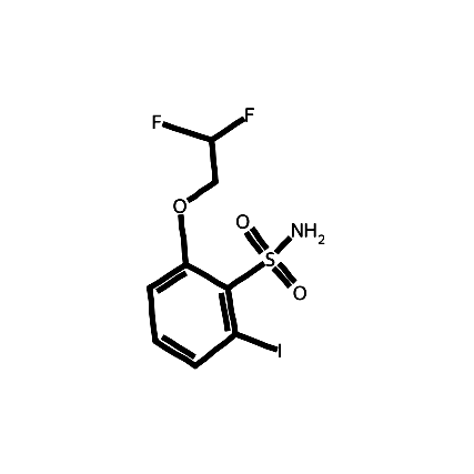 NS(=O)(=O)c1c(I)cccc1OCC(F)F